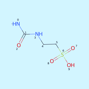 [NH]C(=O)NCCS(=O)(=O)O